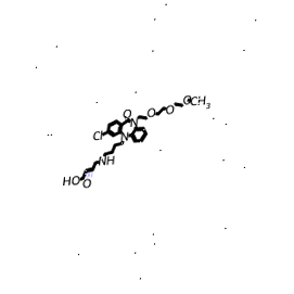 COCCOCCOCCN1C(=O)c2ccc(Cl)cc2N(CCCCNC/C=C/C(=O)O)c2ccccc21